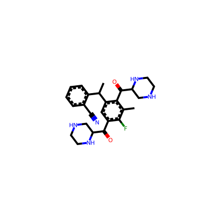 Cc1c(F)c(C(=O)C2CNCCN2)cc(C(C)c2ccccc2C#N)c1C(=O)C1CNCCN1